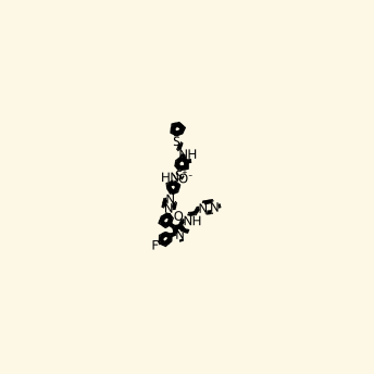 Cc1cc([S+]([O-])Nc2ccc(N3CCN(c4cccc(-c5c(C(=O)NCCCN6CCN(C)CC6)c(C)n(C)c5-c5ccc(F)cc5)c4)CC3)cc2)ccc1NCCSc1ccccc1